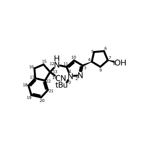 CC(C)(C)n1nc([C@H]2CC[C@@H](O)C2)cc1NC1(C#N)CCc2ccccc21